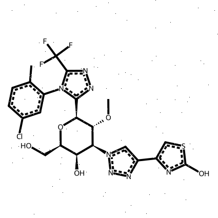 CO[C@@H]1[C@@H](n2cc(-c3csc(O)n3)nn2)[C@@H](O)[C@@H](CO)O[C@H]1c1nnc(C(F)(F)F)n1-c1cc(Cl)ccc1C